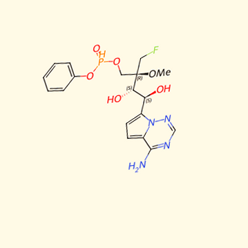 CO[C@](CF)(CO[PH](=O)Oc1ccccc1)[C@@H](O)[C@@H](O)c1ccc2c(N)ncnn12